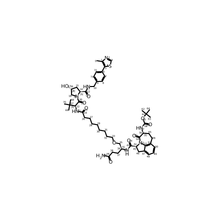 Cc1ncsc1-c1ccc(CNC(=O)[C@@H]2C[C@@H](O)CN2C(=O)[C@@H](NC(=O)CCCCCCCCOC[C@H](CCC(N)=O)NC(=O)[C@@H]2Cc3cccc4c3N2C(=O)[C@@H](NC(=O)OC(C)(C)C)CC4)C(C)(C)C)cc1